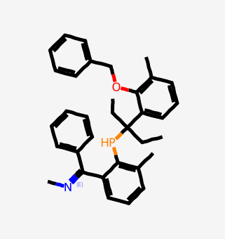 CCC(CC)(Pc1c(C)cccc1/C(=N/C)c1ccccc1)c1cccc(C)c1OCc1ccccc1